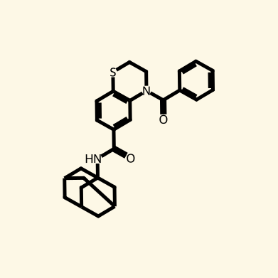 O=C(NC12CC3CC(CC(C3)C1)C2)c1ccc2c(c1)N(C(=O)c1ccccc1)CCS2